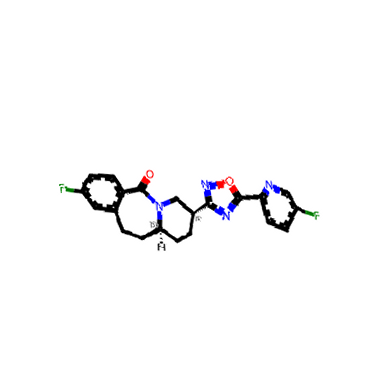 O=C1c2ccc(F)cc2CC[C@@H]2CC[C@H](c3noc(-c4ccc(F)cn4)n3)CN12